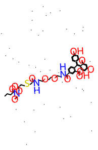 CCCC(=O)N(C=O)OC(=O)CCSCC(=O)NCCOCCOCCNC(=O)c1ccc(-c2c3ccc(=O)cc-3oc3cc(O)ccc23)c(C(=O)O)c1